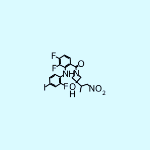 CC(C[N+](=O)[O-])C1(O)CN(C(=O)c2ccc(F)c(F)c2Nc2ccc(I)cc2F)C1